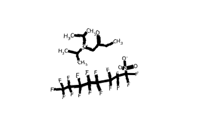 CCC(=O)C[S+](C(C)C)C(C)C.O=S(=O)([O-])C(F)(F)C(F)(F)C(F)(F)C(F)(F)C(F)(F)C(F)(F)C(F)(F)C(F)(F)F